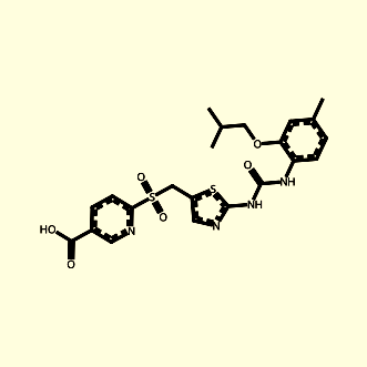 Cc1ccc(NC(=O)Nc2ncc(CS(=O)(=O)c3ccc(C(=O)O)cn3)s2)c(OCC(C)C)c1